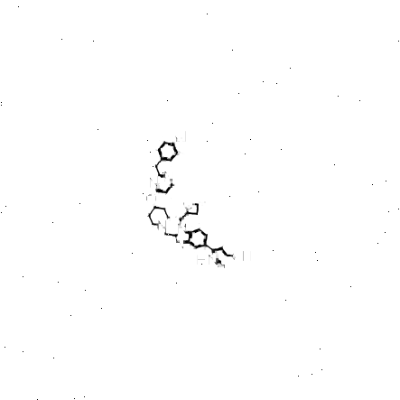 Cc1cc(-c2ccc3c(c2)nc(CN2CCC(Oc4ccnc(Cc5ccc(Cl)cc5)n4)CC2)n3CC2CCO2)[nH]n1